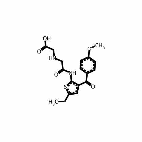 CCc1cc(C(=O)c2ccc(OC)cc2)c(NC(=O)CNCC(=O)O)s1